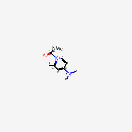 CNC(=O)[n+]1ccc(N(C)C)cc1C